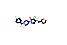 C[C@@H](c1ccc(F)cc1)N1CCC(n2ncc(NCC3CCCOC3)c(Cl)c2=O)CC1